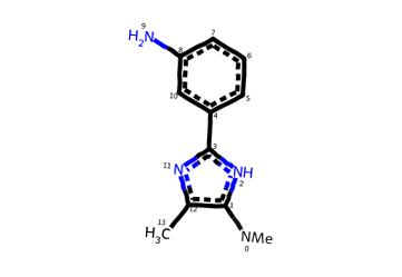 CNc1[nH]c(-c2cccc(N)c2)nc1C